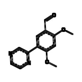 COc1cc(OC)c(-c2cnccn2)cc1C=O